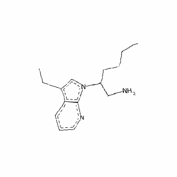 CCCCC(CN)n1cc(CC)c2cccnc21